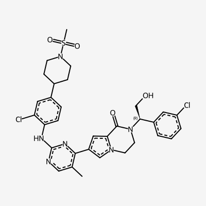 Cc1cnc(Nc2ccc(C3CCN(S(C)(=O)=O)CC3)cc2Cl)nc1-c1cc2n(c1)CCN([C@@H](CO)c1cccc(Cl)c1)C2=O